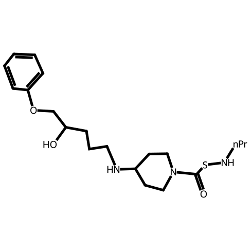 CCCNSC(=O)N1CCC(NCCCC(O)COc2ccccc2)CC1